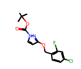 CC(C)(C)OC(=O)n1ccc(OCc2ccc(Cl)cc2F)n1